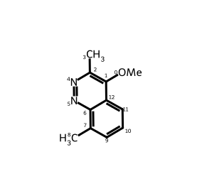 COc1c(C)nnc2c(C)cccc12